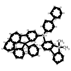 C[Si]1(C)c2ccccc2-c2ccc(N(c3ccc(-c4ccccc4)cc3)c3ccc4c(c3)C(c3ccccc3)(c3ccccc3)c3c-4ccc4ccccc34)cc21